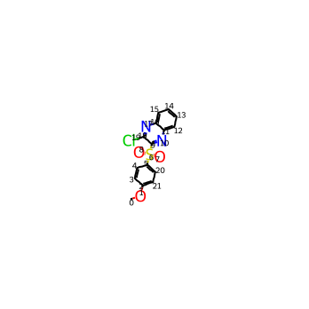 COc1ccc(S(=O)(=O)c2nc3ccccc3nc2Cl)cc1